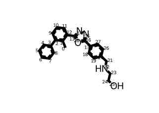 Cc1c(-c2ccccc2)cccc1-c1nnc(-c2ccc(CNCCO)cc2)o1